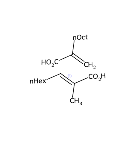 C=C(CCCCCCCC)C(=O)O.CCCCCC/C=C(\C)C(=O)O